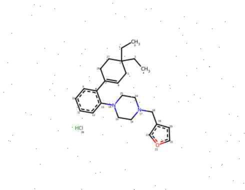 CCC1(CC)CC=C(c2ccccc2N2CCN(Cc3ccoc3)CC2)CC1.Cl